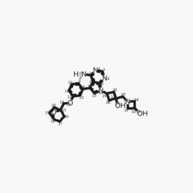 Nc1ncnc2c1c(-c1cccc(OCC34CCC(CC3)O4)c1)cn2C1CC(O)(CN2CC(O)C2)C1